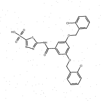 O=C(Nc1nnc(S(=O)(=O)O)s1)c1cc(OCc2ccccc2Cl)cc(OCc2ccccc2Cl)c1